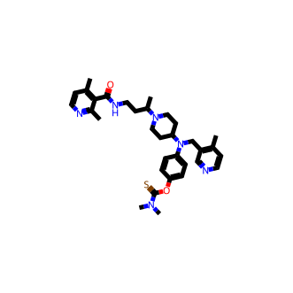 Cc1ccncc1CN(c1ccc(OC(=S)N(C)C)cc1)C1CCN(C(C)CCNC(=O)c2c(C)ccnc2C)CC1